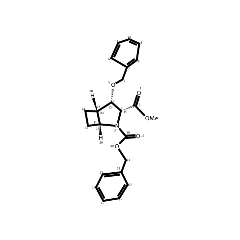 COC(=O)[C@H]1[C@@H](OCc2ccccc2)[C@H]2CC[C@H]2N1C(=O)OCc1ccccc1